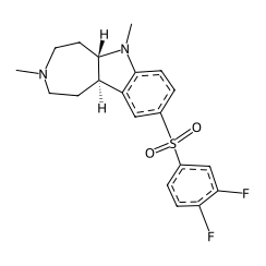 CN1CC[C@@H]2c3cc(S(=O)(=O)c4ccc(F)c(F)c4)ccc3N(C)[C@H]2CC1